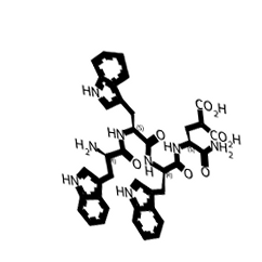 NC(=O)[C@H](CC(C(=O)O)C(=O)O)NC(=O)[C@@H](Cc1c[nH]c2ccccc12)NC(=O)[C@H](Cc1c[nH]c2ccccc12)NC(=O)[C@H](N)Cc1c[nH]c2ccccc12